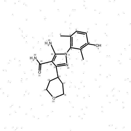 Cc1ccc(O)c(C)c1-n1nc(C2CCOCC2)c(C(N)=O)c1N